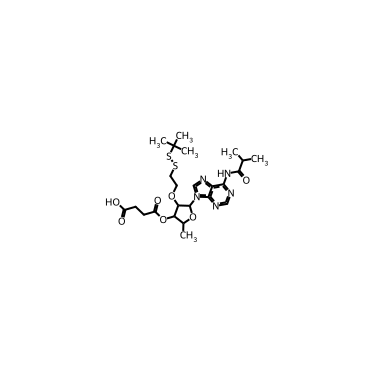 CC(C)C(=O)Nc1ncnc2c1ncn2C1OC(C)C(OC(=O)CCC(=O)O)C1OCCSSC(C)(C)C